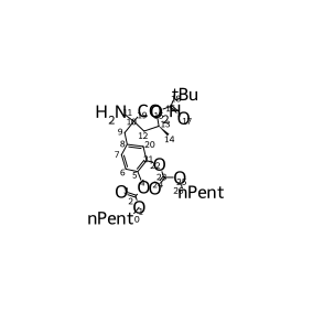 CCCCCOC(=O)Oc1ccc(CC(N)(C[C@H](C)OC(=O)C(C)(C)C)C(=O)O)cc1OC(=O)OCCCCC